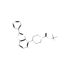 Cc1ccc2[nH]c(-c3ccccc3)nc2c1C1CCN(C(=O)OC(C)(C)C)CC1